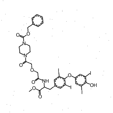 COC(=O)C(Cc1cc(I)c(Oc2cc(I)c(O)c(I)c2)c(I)c1)NC(=O)COCC(=O)N1CCN(C(=O)OCc2ccccc2)CC1